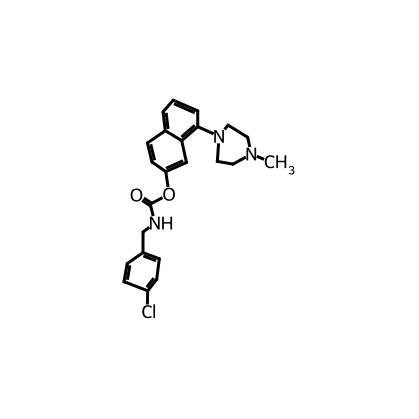 CN1CCN(c2cccc3ccc(OC(=O)NCc4ccc(Cl)cc4)cc23)CC1